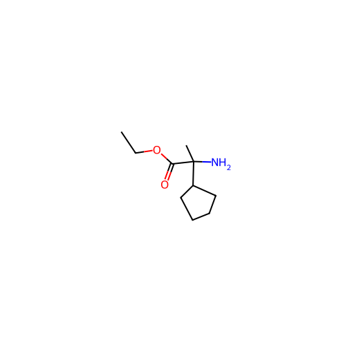 CCOC(=O)C(C)(N)C1CCCC1